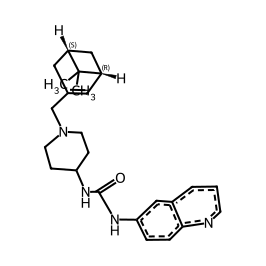 CC1(C)[C@@H]2CC(CN3CCC(NC(=O)Nc4ccc5ncccc5c4)CC3)=C[C@H]1C2